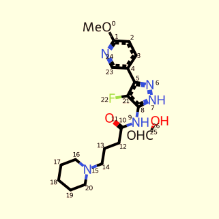 COc1ccc(-c2n[nH]c(NC(=O)CCCN3CCCCC3)c2F)cn1.O=CO